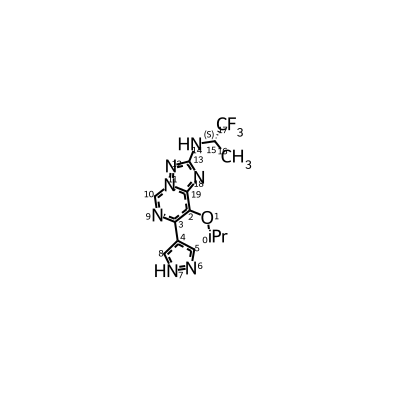 CC(C)Oc1c(-c2cn[nH]c2)ncn2nc(N[C@@H](C)C(F)(F)F)nc12